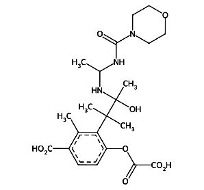 Cc1c(C(=O)O)ccc(OC(=O)C(=O)O)c1C(C)(C)C(C)(O)NC(C)NC(=O)N1CCOCC1